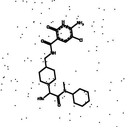 CCCCC(C(=O)N(C)C1CCCCC1)N1CCC(CNC(=O)c2cc(Cl)c(N)[nH]c2=O)CC1